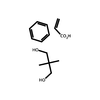 C=CC(=O)O.CC(C)(CO)CO.c1ccccc1